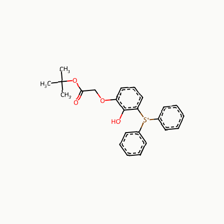 CC(C)(C)OC(=O)COc1cccc([S+](c2ccccc2)c2ccccc2)c1O